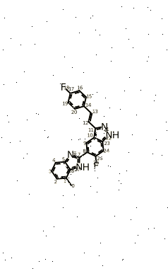 Cc1cccc2nc(-c3cc4c(C=Cc5ccc(F)cc5)n[nH]c4cc3F)[nH]c12